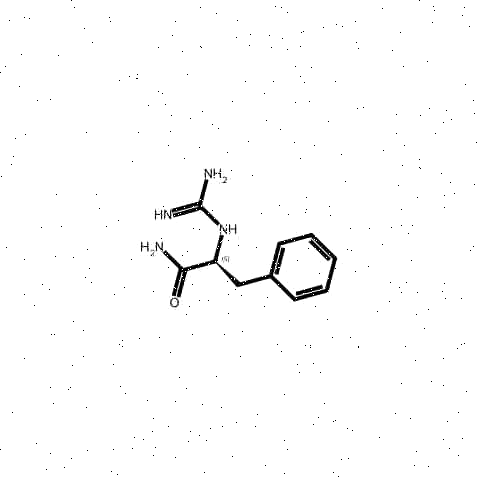 N=C(N)N[C@@H](Cc1ccccc1)C(N)=O